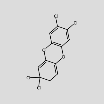 Clc1cc2c(cc1Cl)OC1=CC(Cl)(Cl)CC=C1O2